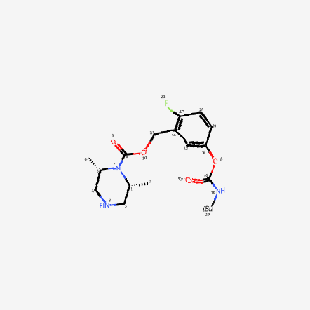 C[C@@H]1CNC[C@H](C)N1C(=O)OCc1cc(OC(=O)NC(C)(C)C)ccc1F